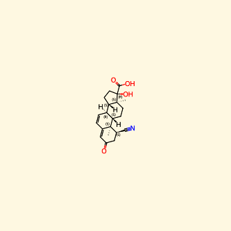 C[C@@]12C(=CC(=O)C[C@@H]1C#N)C=C[C@@H]1[C@@H]2CC[C@@]2(C)[C@H]1CC[C@]2(O)C(=O)O